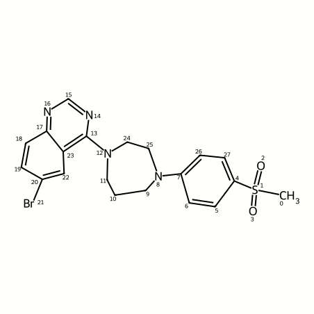 CS(=O)(=O)c1ccc(N2CCCN(c3ncnc4ccc(Br)cc34)CC2)cc1